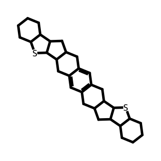 c1c2c(cc3c1CC1C(C3)CC3C4CCCCC4SC13)CC1C(C2)CC2C3CCCCC3SC12